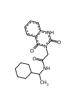 CC(NC(=O)Cn1c(=O)[nH]c2ccccc2c1=O)C1CCCCC1